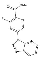 COC(=O)c1ncc(-n2nnc3cccnc32)cc1F